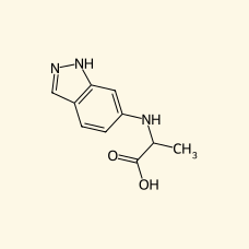 CC(Nc1ccc2cn[nH]c2c1)C(=O)O